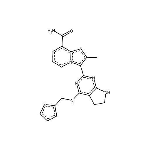 Cc1nc2c(C(N)=O)cccn2c1-c1nc2c(c(NCc3cccs3)n1)CCN2